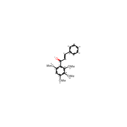 COc1cc(OC)c(C(=O)C=Cc2ccccc2)c(OC)c1OC